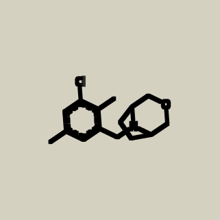 Cc1cc(Cl)c(C)c(CN2C3CCC2COC3)c1